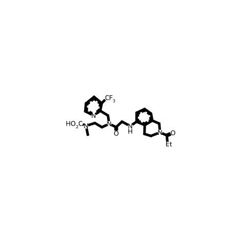 CCC(=O)N1CCc2c(cccc2NCC(=O)N(CCN(C)C(=O)O)Cc2ncccc2C(F)(F)F)C1